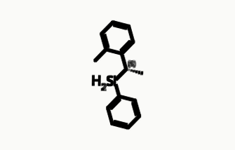 Cc1ccccc1[C@H](C)[SiH2]c1ccccc1